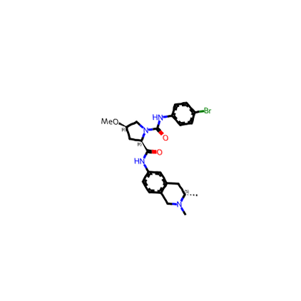 CO[C@@H]1C[C@H](C(=O)Nc2ccc3c(c2)C[C@H](C)N(C)C3)N(C(=O)Nc2ccc(Br)cc2)C1